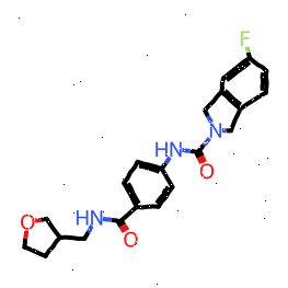 O=C(NCC1CCOC1)c1ccc(NC(=O)N2Cc3ccc(F)cc3C2)cc1